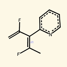 C=C(F)/C(=C(/C)F)c1ccccn1